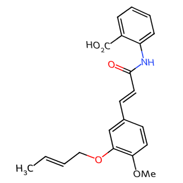 C/C=C/COc1cc(/C=C/C(=O)Nc2ccccc2C(=O)O)ccc1OC